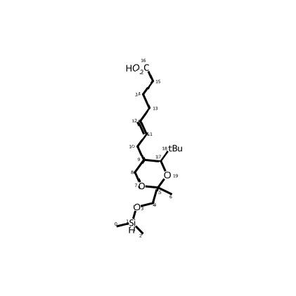 C[SiH](C)OCC1(C)OCC(CC=CCCCC(=O)O)C(C(C)(C)C)O1